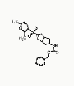 Cc1nc(C(F)(F)F)ccc1S(=O)(=O)N1CC2CC(NC(=O)OCc3ccccc3)CC2C1